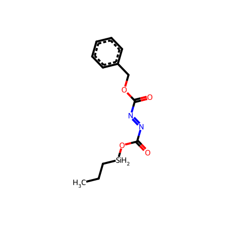 CCC[SiH2]OC(=O)N=NC(=O)OCc1ccccc1